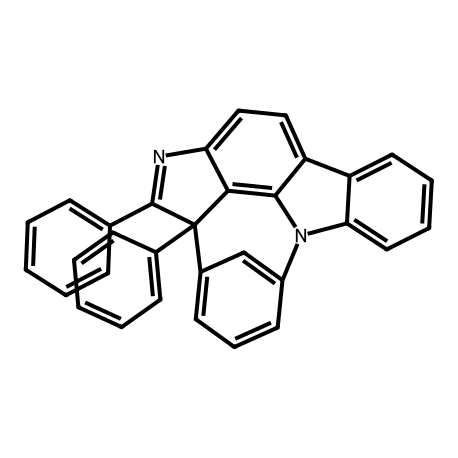 c1ccc(C2=Nc3ccc4c5ccccc5n5c4c3C2(c2ccccc2)c2cccc-5c2)cc1